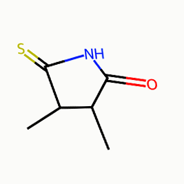 CC1C(=O)NC(=S)C1C